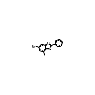 Cc1cc(Br)cc2oc(-c3ccccc3)nc12